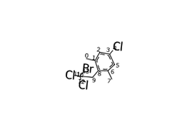 Cc1cc(Cl)cc(C)c1CC(Cl)(Cl)Br